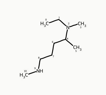 CCN(C)C(C)CCCNC